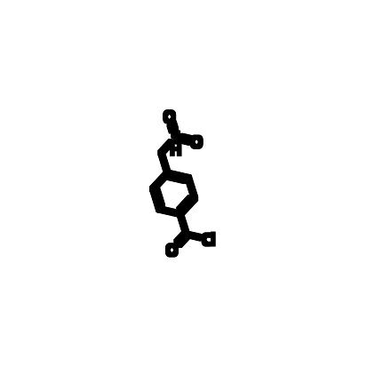 O=C(Cl)c1ccc(C[SH](=O)=O)cc1